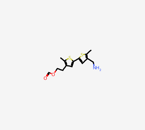 Cc1sc(-c2cc(CCOC=O)c(C)s2)cc1CN